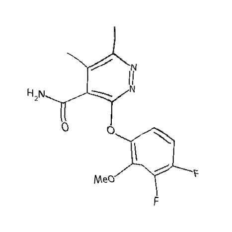 COc1c(Oc2nnc(C)c(C)c2C(N)=O)ccc(F)c1F